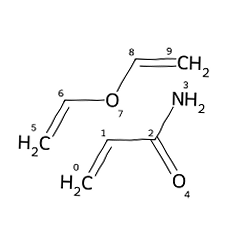 C=CC(N)=O.C=COC=C